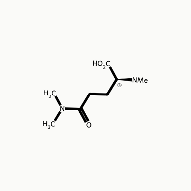 CN[C@@H](CCC(=O)N(C)C)C(=O)O